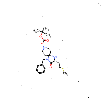 CSCC[C@@H]1NC2(CCN(OC(=O)OC(C)(C)C)CC2)N(Cc2ccccc2)C1=O